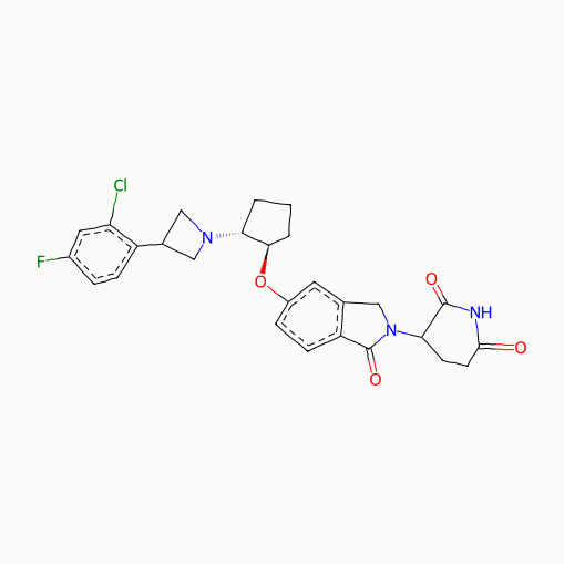 O=C1CCC(N2Cc3cc(O[C@@H]4CCC[C@H]4N4CC(c5ccc(F)cc5Cl)C4)ccc3C2=O)C(=O)N1